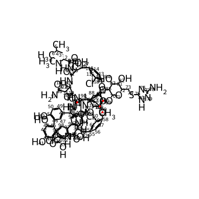 CN[C@H](CC(C)C)C(=O)N[C@H]1C(=O)N[C@@H](CC(N)=O)C(=O)N[C@H]2C(=O)N[C@H]3C(=O)N[C@H](C(=O)N[C@H](C(=O)O)c4cc(O)cc(O)c4-c4cc3ccc4O)[C@H](O)c3ccc(c(Cl)c3)Oc3cc2cc(c3OC2OC(CSc3nc(N)n[nH]3)C(O)C(O)C2OC2CC(I)(NCc3ccc(-c4ccc(Cl)cc4)cc3)C(O)C(C)O2)Oc2ccc(cc2Cl)[C@H]1O